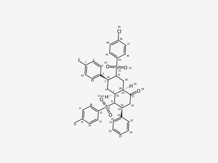 Cc1ccc([C@@H]2C[C@@H]3C(S(=O)(=O)c4ccc(C)cc4)[C@H](c4ccccc4)CC(=O)[C@@H]3CC2S(=O)(=O)c2ccc(Cl)cc2)cc1